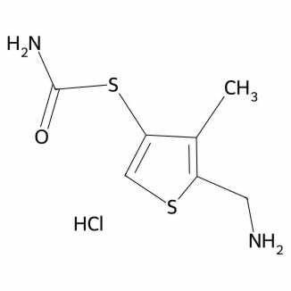 Cc1c(SC(N)=O)csc1CN.Cl